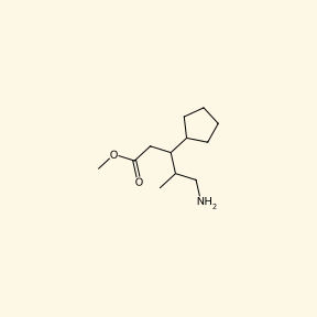 COC(=O)CC(C(C)CN)C1CCCC1